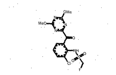 COc1nc(OC)nc(C(=O)c2cccc(Cl)c2NS(=O)(=O)CF)n1